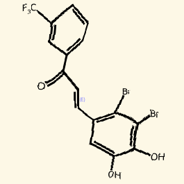 O=C(/C=C/c1cc(O)c(O)c(Br)c1Br)c1cccc(C(F)(F)F)c1